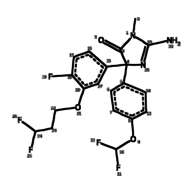 CN1C(=O)C(c2ccc(OC(F)F)cc2)(c2ccc(F)c(OCCC(F)F)c2)N=C1N